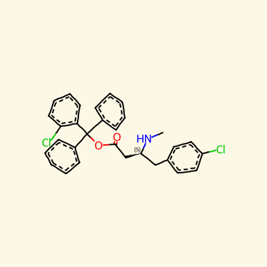 CN[C@H](CC(=O)OC(c1ccccc1)(c1ccccc1)c1ccccc1Cl)Cc1ccc(Cl)cc1